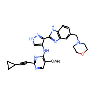 COc1cnc(C#CC2CC2)nc1Nc1c[nH]nc1-c1nc2cc(CN3CCOCC3)ccc2[nH]1